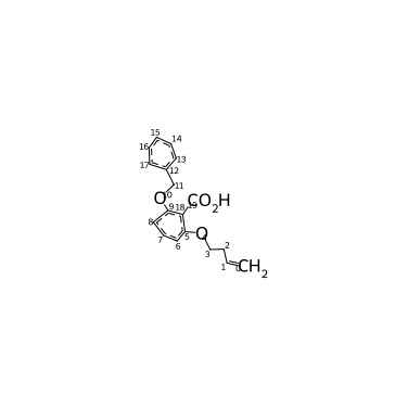 C=CCCOc1cccc(OCc2ccccc2)c1C(=O)O